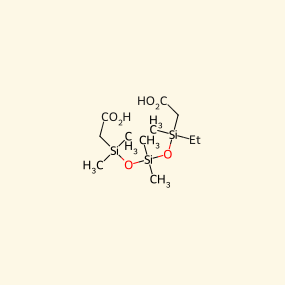 CC[Si](C)(CC(=O)O)O[Si](C)(C)O[Si](C)(C)CC(=O)O